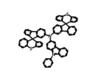 c1ccc(-n2c3ccccc3c3cc(N(c4ccc5c(c4)-c4ccccc4C54c5ccccc5Sc5ccccc54)c4ccc5c(c4)C4(c6ccccc6Sc6ccccc64)c4ccccc4-5)ccc32)cc1